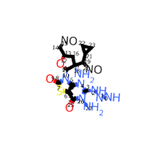 N=NNc1nc2c(sc(=O)n2[C@@H]2OC(CN=O)C[C@@]2(N)C(N=O)C2CC2)c(=O)n1N